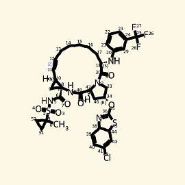 CC1(S(=O)(=O)NC(=O)[C@@]23C[C@H]2/C=C\CCCCC[C@H](Nc2cccc(C(F)(F)F)c2)C(=O)N2C[C@H](OC4=NC5C=CC(Cl)=CC5S4)C[C@H]2C(=O)N3)CC1